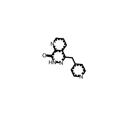 O=c1[nH]nc(Cc2ccncc2)c2cccnc12